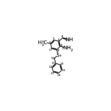 Cc1cc(C=N)c(N)c(SCc2ccccc2)c1